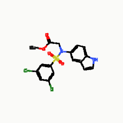 CC(C)(C)OC(=O)CN(c1ccc2[nH]ccc2c1)S(=O)(=O)c1cc(Cl)cc(Cl)c1